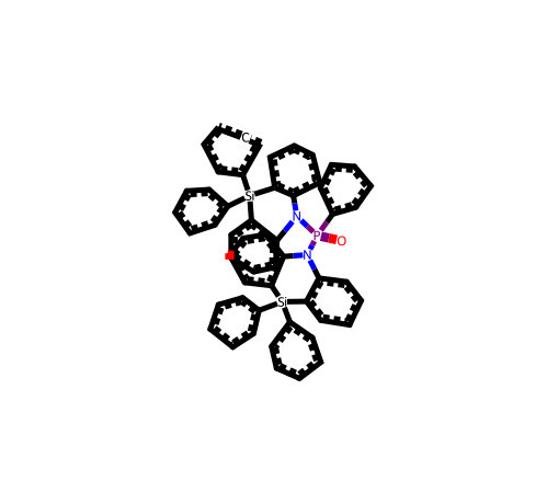 O=P(c1ccccc1)(N1c2ccccc2[Si](c2ccccc2)(c2ccccc2)c2ccccc21)N1c2ccccc2[Si](c2ccccc2)(c2ccccc2)c2ccccc21